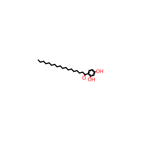 CCCCCCCCCCCCCCCCCC(=O)c1ccc(O)cc1O